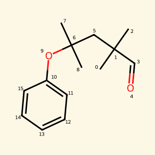 CC(C)(C=O)CC(C)(C)Oc1ccccc1